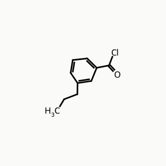 CCCc1cccc(C(=O)Cl)c1